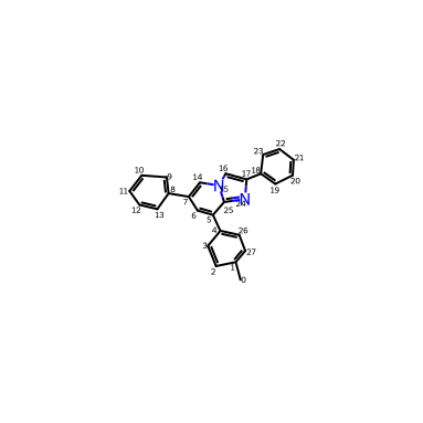 Cc1ccc(-c2cc(-c3ccccc3)cn3cc(-c4ccccc4)nc23)cc1